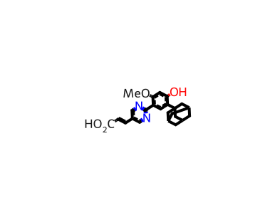 COc1cc(O)c(C23CC4CC(CC(C4)C2)C3)cc1-c1ncc(/C=C/C(=O)O)cn1